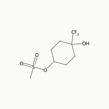 CS(=O)(=O)OC1CCC(O)(C(F)(F)F)CC1